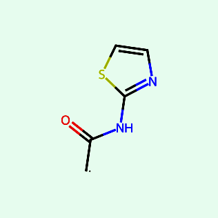 [CH2]C(=O)Nc1nccs1